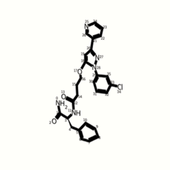 NC(=O)[C@H](Cc1ccccc1)NC(=O)CCCOc1cc(-c2cccnc2)nn1-c1cccc(Cl)c1